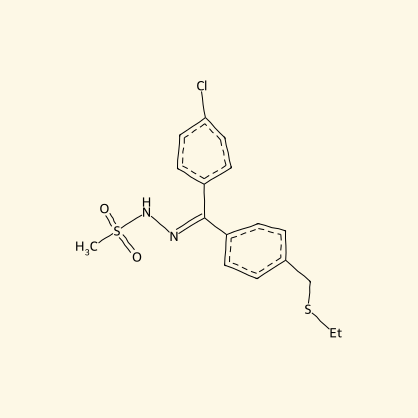 CCSCc1ccc(C(=NNS(C)(=O)=O)c2ccc(Cl)cc2)cc1